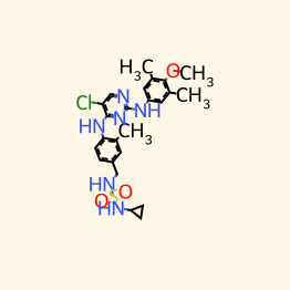 COc1c(C)cc(Nc2ncc(Cl)c(Nc3ccc(CNS(=O)(=O)NC4CC4)cc3C)n2)cc1C